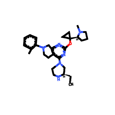 Cc1ccccc1N1CCc2c(nc(OC3([C@@H]4CCCN4C)CC3)nc2N2CCN[C@@H](CC#N)C2)C1